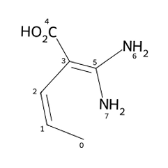 C/C=C\C(C(=O)O)=C(N)N